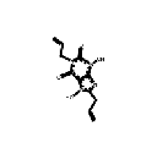 C=CCc1nc2c(c(=O)n(CC=C)c(=O)n2O)n1O